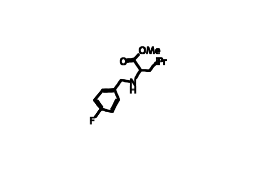 COC(=O)C(CC(C)C)NCc1ccc(F)cc1